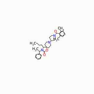 CCCCC1N(C(C)c2ccccc2)C(=O)OC12CCN(C1CCN(C(=O)c3c(C)cccc3C)CC1)CC2